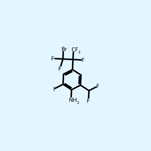 Nc1c(I)cc(C(F)(C(F)(F)F)C(F)(F)Br)cc1C(F)F